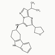 CC(C)c1cnn2c(N[C@@H]3CCc4[nH]c5ccccc5c4C3)nc(C3CCOC3)nc12